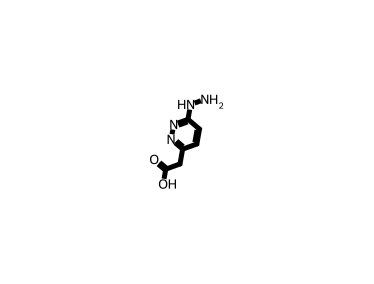 NNc1ccc(CC(=O)O)nn1